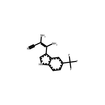 N#C/C(N)=C(/N)c1c[nH]c2ccc(C(F)(F)F)cc12